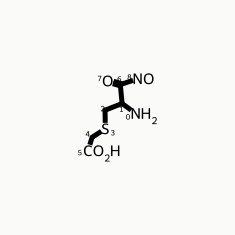 NC(CSCC(=O)O)C(=O)N=O